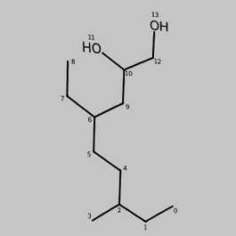 CCC(C)CCC(CC)CC(O)CO